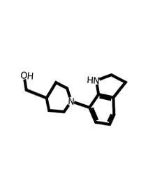 OCC1CCN(c2cccc3c2NCC3)CC1